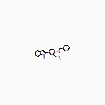 Cc1cc(-c2cc3ccccc3[nH]2)ccc1OCc1ccccc1